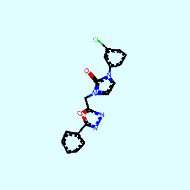 O=c1n(Cc2nnc(-c3ccccc3)o2)ccn1-c1cccc(Cl)c1